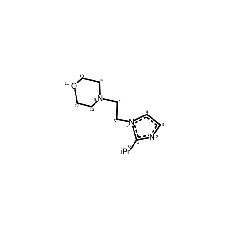 CC(C)c1nccn1CCN1CCOCC1